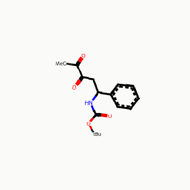 COC(=O)C(=O)CC(NC(=O)OC(C)(C)C)c1ccccc1